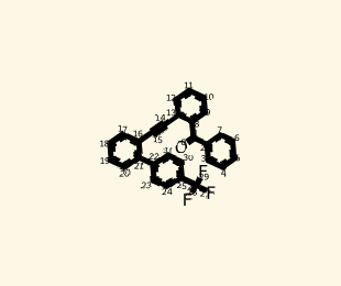 O=C(c1ccccc1)c1ccccc1C#Cc1ccccc1-c1ccc(C(F)(F)F)cc1